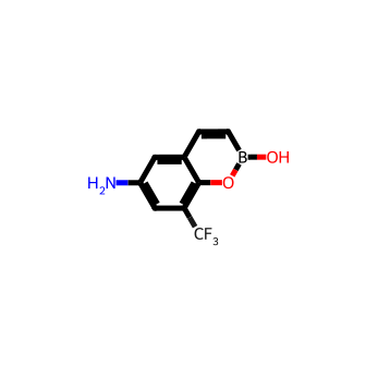 Nc1cc2c(c(C(F)(F)F)c1)OB(O)C=C2